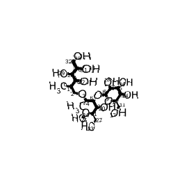 CC(CO[C@@H](C)C(OC1O[C@H](CO)C(O)C(O)C1O)C(O)[C@@H](CO)OO)C(O)C(O)C(O)CO